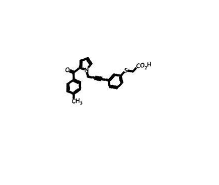 Cc1ccc(C(=O)c2cccn2CC#Cc2cccc(SCC(=O)O)c2)cc1